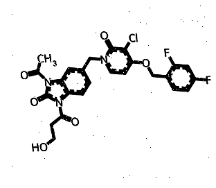 CC(=O)n1c(=O)n(C(=O)CCO)c2ccc(Cn3ccc(OCc4ccc(F)cc4F)c(Cl)c3=O)cc21